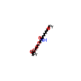 CC(C)OCCCCCCCCC(=O)NCCOCCOCCOCC(=O)C(C)C